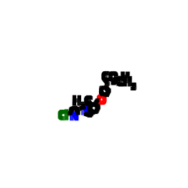 CC#C[C@@H](CC(=O)O)c1ccc(OCc2ccc3ccn(Cc4ccc(Cl)nc4)c3c2C)cc1